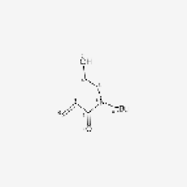 C=CC(=O)N(CCO)C(C)(C)C